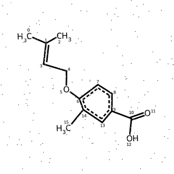 CC(C)=CCOc1ccc(C(=O)O)cc1C